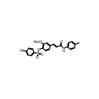 COc1cc(C=CC(=O)Nc2ccc(I)cc2)ccc1OS(=O)(=O)c1ccc(Cl)cc1